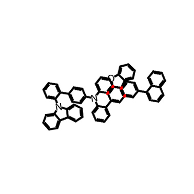 c1cc(-c2ccc(-c3cccc4ccccc34)cc2)cc(N(c2ccc(-c3ccccc3-n3c4ccccc4c4ccccc43)cc2)c2ccccc2-c2ccc3c(c2)oc2ccccc23)c1